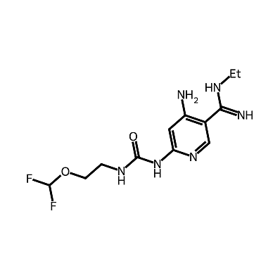 CCNC(=N)c1cnc(NC(=O)NCCOC(F)F)cc1N